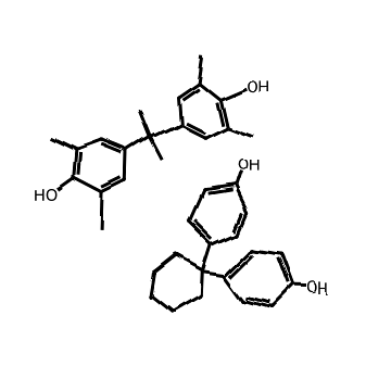 Cc1cc(C(C)(C)c2cc(C)c(O)c(C)c2)cc(C)c1O.Oc1ccc(C2(c3ccc(O)cc3)CCCCC2)cc1